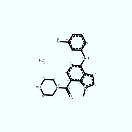 Cl.Cn1cnc2c(Nc3cccc(Br)c3)ncc(C(=O)N3CCOCC3)c21